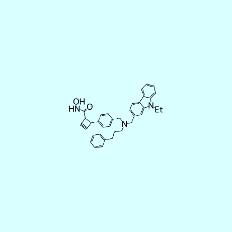 CCn1c2ccccc2c2ccc(CN(CCCc3ccccc3)Cc3ccc(C4C#CC4C(=O)NO)cc3)cc21